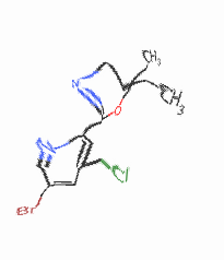 CC1(C)CN=C(c2ncc(Br)cc2Cl)O1